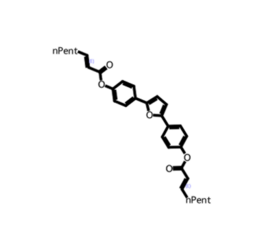 CCCCC/C=C/C(=O)Oc1ccc(-c2ccc(-c3ccc(OC(=O)/C=C/CCCCC)cc3)o2)cc1